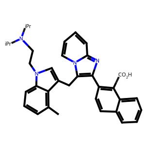 Cc1cccc2c1c(Cc1c(-c3ccc4ccccc4c3C(=O)O)nc3ccccn13)cn2CCN(C(C)C)C(C)C